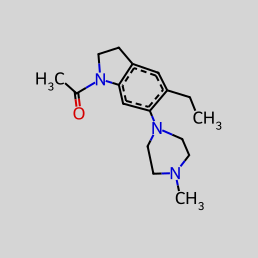 CCc1cc2c(cc1N1CCN(C)CC1)N(C(C)=O)CC2